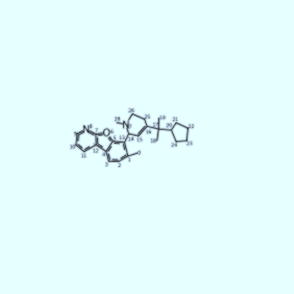 Cc1ccc2c(oc3ncccc32)c1C1C=C(C(C)(C)C2CCCC2)CCN1C